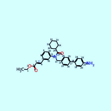 CCOC(=O)/C=C/c1cccc(N(Cc2ccc(-c3ccc(N)cc3)cc2)C(=O)C2CCCCC2)c1